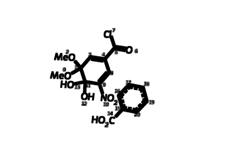 COC1(OC)C=C(C(=O)Cl)C=C([N+](=O)[O-])C1(O)O.O=C(O)c1ccccc1